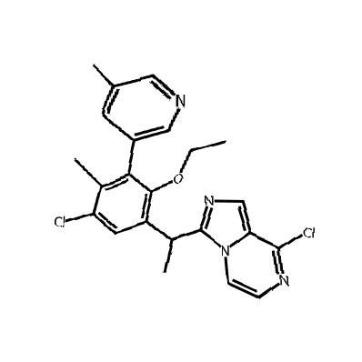 CCOc1c(C(C)c2ncc3c(Cl)nccn23)cc(Cl)c(C)c1-c1cncc(C)c1